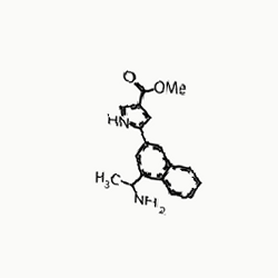 COC(=O)c1c[nH]c(-c2cc(C(C)N)c3ccccc3c2)c1